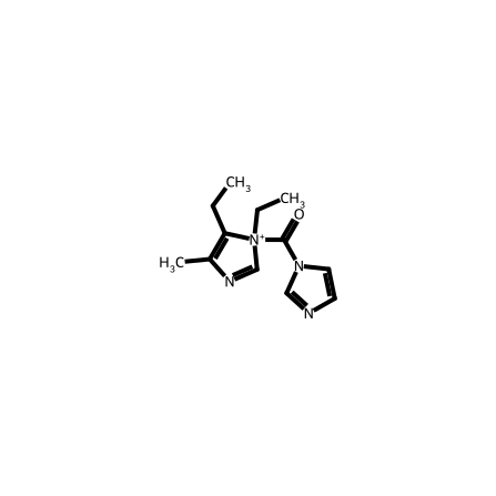 CCC1=C(C)N=C[N+]1(CC)C(=O)n1ccnc1